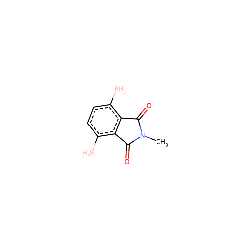 Bc1ccc(B)c2c1C(=O)N(C)C2=O